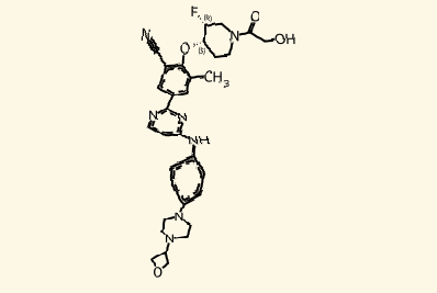 Cc1cc(-c2nccc(Nc3ccc(N4CCN(C5COC5)CC4)cc3)n2)cc(C#N)c1O[C@H]1CCN(C(=O)CO)C[C@H]1F